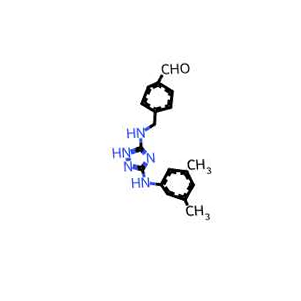 Cc1cc(C)cc(Nc2n[nH]c(NCc3ccc(C=O)cc3)n2)c1